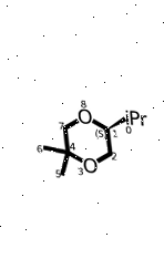 CC(C)[C@H]1COC(C)(C)CO1